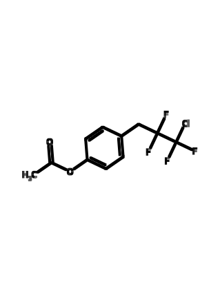 CC(=O)Oc1ccc(CC(F)(F)C(F)(F)Cl)cc1